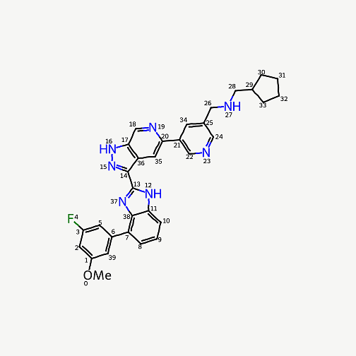 COc1cc(F)cc(-c2cccc3[nH]c(-c4n[nH]c5cnc(-c6cncc(CNCC7CCCC7)c6)cc45)nc23)c1